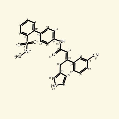 CC(C)(C)NS(=O)(=O)c1ccccc1-c1ccc(NC(=O)/C=C(\Cc2cc[nH]n2)c2cccc(C#N)c2)cc1